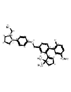 COc1ccc(F)c(-c2ccc(COc3ccc(N4CCC[C@H]4CC#N)cc3)cc2C2=CCCC2(C)C)c1